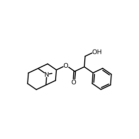 CN1C2CCCC1CC(OC(=O)C(CO)c1ccccc1)C2